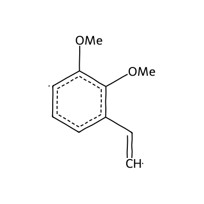 [CH]=Cc1cc[c]c(OC)c1OC